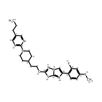 CCCc1cnc(N2CCC(CCOc3nn4cc(-c5ccc(SC)cc5F)nc4s3)CC2)nc1